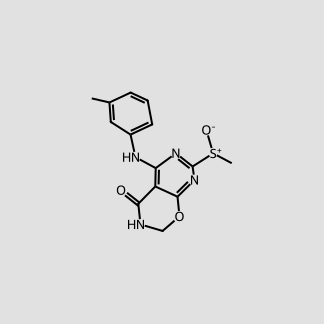 Cc1cccc(Nc2nc([S+](C)[O-])nc3c2C(=O)NCO3)c1